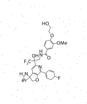 COc1cc(C(=O)NCC(O)(c2cc3c(c(C4=CCC(F)C=C4)n2)OCC3(N)C(C)C)C(F)(F)F)ccc1OCCO